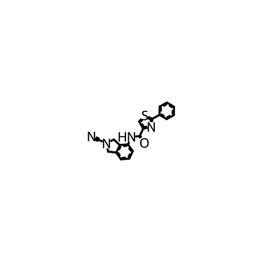 N#CN1Cc2cccc(NC(=O)c3csc(-c4ccccc4)n3)c2C1